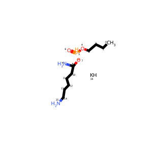 CCCCO[PH](=O)OC(N)CCCCCN.[KH]